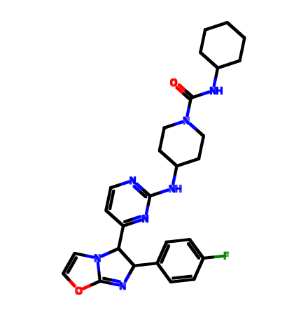 O=C(NC1CCCCC1)N1CCC(Nc2nccc(C3C(c4ccc(F)cc4)N=C4OC=CN43)n2)CC1